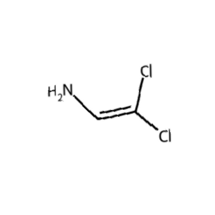 NC=C(Cl)Cl